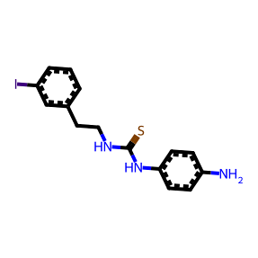 Nc1ccc(NC(=S)NCCc2cccc(I)c2)cc1